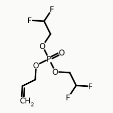 C=CCOP(=O)(OCC(F)F)OCC(F)F